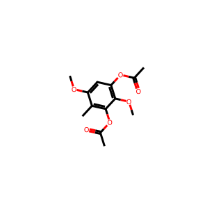 COc1cc(OC(C)=O)c(OC)c(OC(C)=O)c1C